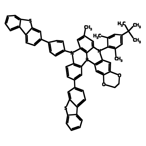 Cc1cc2c3c(c1)N(c1c(C)cc(C(C)(C)C)cc1C)c1cc4c(cc1B3c1cc(-c3ccc5c(c3)sc3ccccc35)ccc1N2c1ccc(-c2ccc3c(c2)sc2ccccc23)cc1)OCCO4